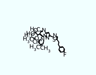 Cc1nc2cc(-c3ncc(CCc4ccc(F)cc4)s3)nn2c(N2CCC(C)(C)CC2)c1C(OC(C)(C)C)C(=O)O